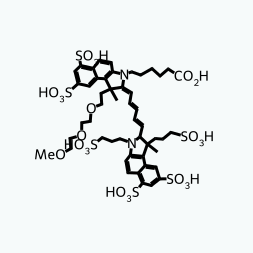 COCCOCCOCCC1(C)C(=CC=CC=CC2N(CCCS(=O)(=O)O)c3ccc4c(S(=O)(=O)O)cc(S(=O)(=O)O)cc4c3C2(C)CCCS(=O)(=O)O)N(CCCCCC(=O)O)c2ccc3c(S(=O)(=O)O)cc(S(=O)(=O)O)cc3c21